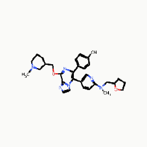 CN1CCCC(COc2nc(-c3ccc(C#N)cc3)c(-c3ccc(N(C)CC4CCCO4)nc3)n3ccnc23)C1